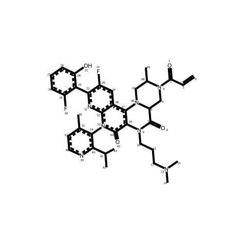 C=CC(=O)N1CC2C(=O)N(CCCN(C)C)c3c(c4cc(F)c(-c5c(O)cccc5F)nc4n(-c4c(C)ccnc4C(C)C)c3=O)N2CC1C